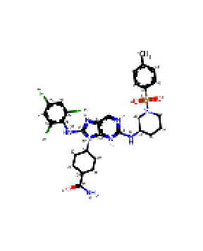 Cc1ccc(S(=O)(=O)N2CCC[C@@H](Nc3ncc4nc(Nc5c(F)cc(F)cc5F)n(C5CCC(C(N)=O)CC5)c4n3)C2)cc1